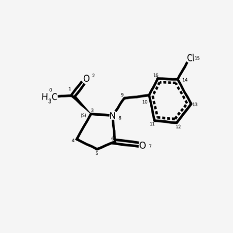 CC(=O)[C@@H]1CCC(=O)N1Cc1cccc(Cl)c1